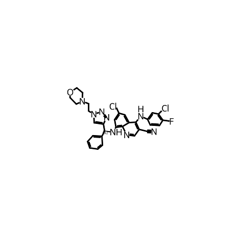 N#Cc1cnc2c(N[C@@H](c3ccccc3)c3cn(CCN4CCOCC4)nn3)cc(Cl)cc2c1Nc1ccc(F)c(Cl)c1